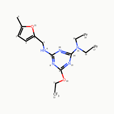 Cc1ccc(CNc2nc(OCC(F)(F)F)nc(N(CC(C)C)CC(C)C)n2)o1